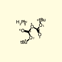 CC(C)(C)OC(=O)OC(=O)OC(C)(C)C.[PbH2]